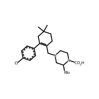 CC1(C)CCC(CN2CCN(C(=O)O)C(C(C)(C)C)C2)=C(c2ccc(Cl)cc2)C1